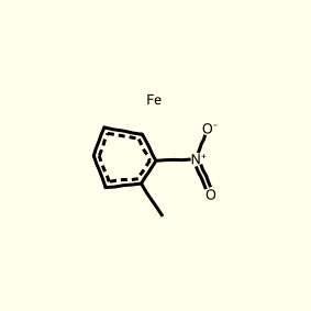 Cc1ccccc1[N+](=O)[O-].[Fe]